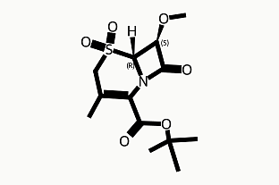 CO[C@H]1C(=O)N2C(C(=O)OC(C)(C)C)=C(C)CS(=O)(=O)[C@H]12